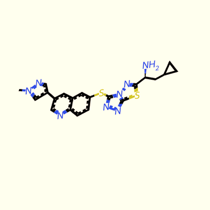 Cn1cc(-c2cnc3ccc(Sc4nnc5sc([C@@H](N)CC6CC6)nn45)cc3c2)cn1